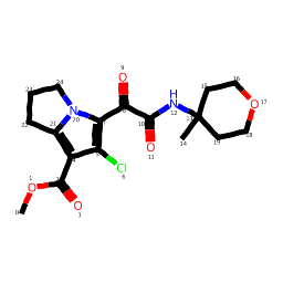 COC(=O)c1c(Cl)c(C(=O)C(=O)NC2(C)CCOCC2)n2c1CCC2